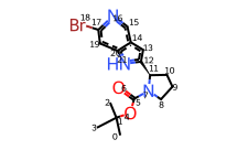 CC(C)(C)OC(=O)N1CCC[C@@H]1c1cc2cnc(Br)cc2[nH]1